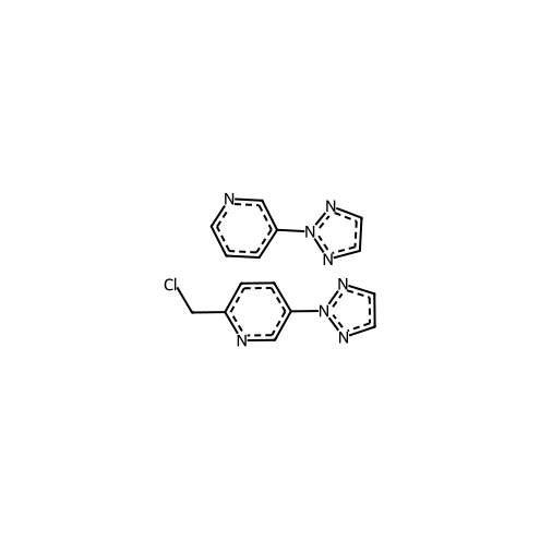 ClCc1ccc(-n2nccn2)cn1.c1cncc(-n2nccn2)c1